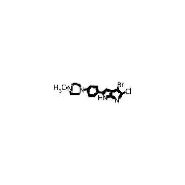 CN1CCN(c2ccc(-c3cc4c(Br)c(Cl)cnc4[nH]3)cc2)CC1